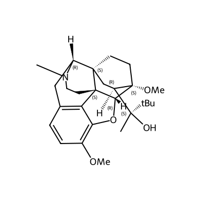 COc1ccc2c3c1O[C@H]1[C@]4(OC)CC[C@@]5(C[C@@H]4[C@](C)(O)C(C)(C)C)[C@@H](C2)N(C)CC[C@]315